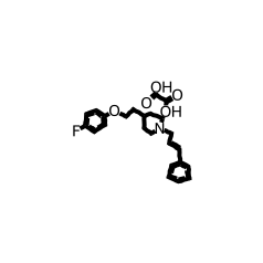 Fc1ccc(OCCC2CCN(C/C=C/c3ccccc3)CC2)cc1.O=C(O)C(=O)O